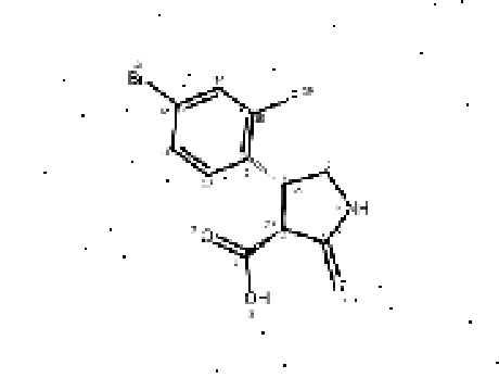 O=C(O)[C@@H]1C(=O)NC[C@H]1c1ccc(Br)cc1F